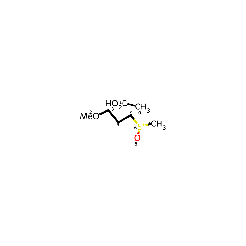 CC(=O)O.COCCC[S+](C)[O-]